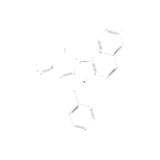 CCN1/C(=C\C=N)C(C)(Cc2ccccc2)c2ccc3ccccc3c21